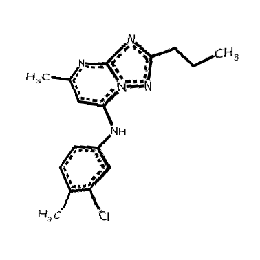 CCCc1nc2nc(C)cc(Nc3ccc(C)c(Cl)c3)n2n1